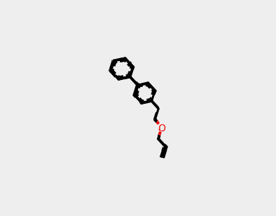 C=CCOCCc1ccc(-c2ccccc2)cc1